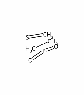 C=S.CC.O=[P]=O